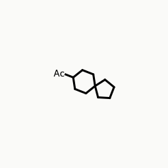 CC(=O)C1CCC2(CCCC2)CC1